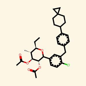 CC[C@H]1OC(c2ccc(Cl)c(Cc3ccc(C4CCC5(CC4)CC5)cc3)c2)[C@H](OC(C)=O)[C@@H](OC(C)=O)[C@@H]1C